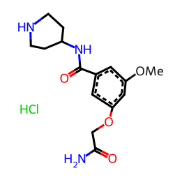 COc1cc(OCC(N)=O)cc(C(=O)NC2CCNCC2)c1.Cl